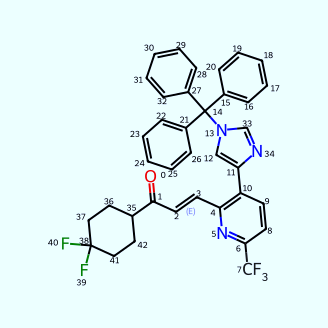 O=C(/C=C/c1nc(C(F)(F)F)ccc1-c1cn(C(c2ccccc2)(c2ccccc2)c2ccccc2)cn1)C1CCC(F)(F)CC1